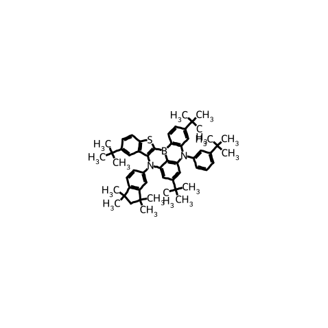 CC(C)(C)c1cccc(N2c3cc(C(C)(C)C)ccc3B3c4sc5ccc(C(C)(C)C)cc5c4N(c4ccc5c(c4)C(C)(C)CC5(C)C)c4cc(C(C)(C)C)cc2c43)c1